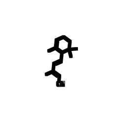 CC(C=CC1C(C)=CCCC1(C)C)=CC#N